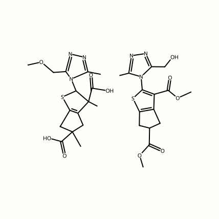 COC(=O)c1c(-n2c(C)nnc2CO)sc2c1CC(C(=O)OC)C2.COCc1nnc(C)n1C1SC2=C(CC(C)(C(=O)O)C2)C1(C)C(=O)O